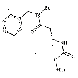 CCN(Cc1ccncc1)C(=O)CCNC(=O)OC(C)(C)C